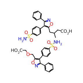 CC(CC(=O)O)Cc1onc(-c2ccccc2)c1-c1ccc(S(N)(=O)=O)cc1.NS(=O)(=O)c1ccc(-c2c(-c3ccccc3)noc2COCC(=O)O)cc1